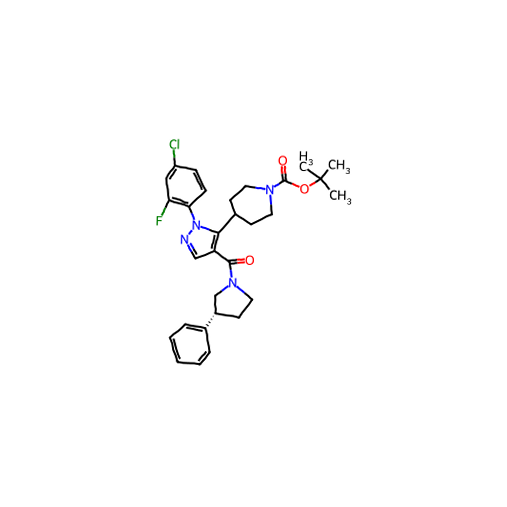 CC(C)(C)OC(=O)N1CCC(c2c(C(=O)N3CC[C@H](c4ccccc4)C3)cnn2-c2ccc(Cl)cc2F)CC1